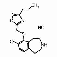 CCCc1noc(CSc2c(Cl)ccc3c2CCNCC3)n1.Cl